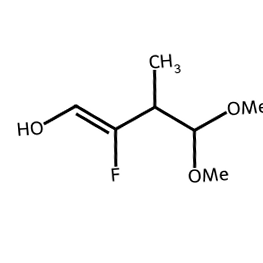 COC(OC)C(C)C(F)=CO